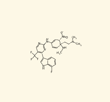 CNC1(CCN(C)C)C=CC(Nc2ncc(C(F)(F)F)c(-c3c[nH]c4c(F)cccc34)n2)=CC1[N+](=O)[O-]